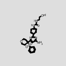 Nc1cc(C2(S(=O)(=O)c3ccccc3)CCOCC2)nc(-c2ccc(NC(=O)NCCO)cc2)n1